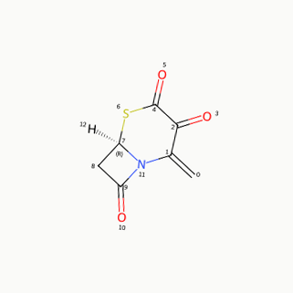 C=C1C(=O)C(=O)S[C@@H]2CC(=O)N12